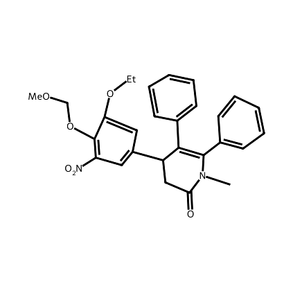 CCOc1cc(C2CC(=O)N(C)C(c3ccccc3)=C2c2ccccc2)cc([N+](=O)[O-])c1OCOC